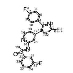 CCc1nc(-c2ccc(F)cc2)c(-c2ccnc(N=S(C)(=O)c3cccc(F)c3)c2)s1